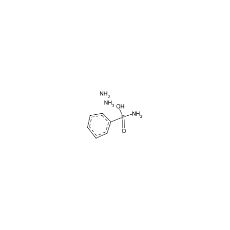 N.N.NP(=O)(O)c1ccccc1